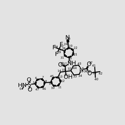 CNS(=O)(=O)c1ccc(-c2cccc(CC(O)(C(=O)Nc3ccc(C#N)c(C(F)(F)F)c3)C3CCN(C(=O)OC(C)(C)C)CC3)c2)cc1